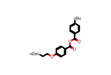 CCCCCCCCCCCCOc1ccc(C(=O)OC(=O)c2ccc(CCCC)cc2)cc1